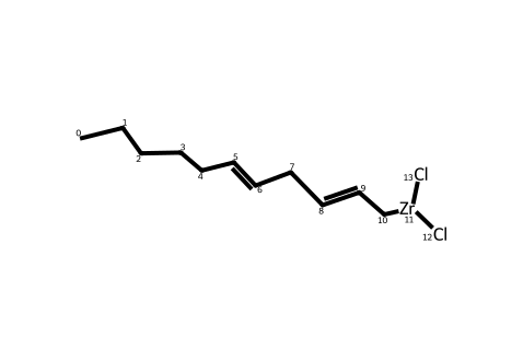 CCCCCC=CCC=C[CH2][Zr]([Cl])[Cl]